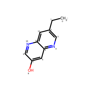 [CH2]Cc1cnc2cc(O)cnc2c1